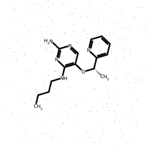 CCCCNc1nc(N)ncc1O[C@@H](C)c1ccccn1